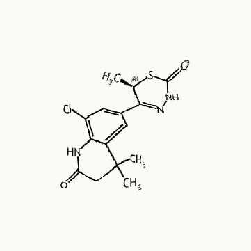 C[C@H]1SC(=O)NN=C1c1cc(Cl)c2c(c1)C(C)(C)CC(=O)N2